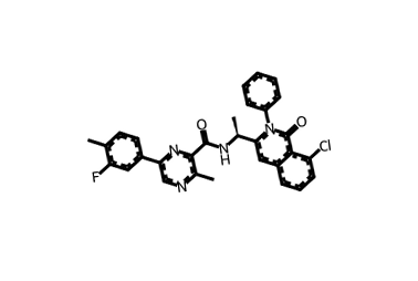 Cc1ccc(-c2cnc(C)c(C(=O)N[C@@H](C)c3cc4cccc(Cl)c4c(=O)n3-c3ccccc3)n2)cc1F